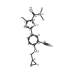 Cc1nc(-c2ccc(OCC3CC3)c(C#N)c2)sc1C(=O)N(C)C